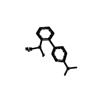 CN(C)c1ccc(-c2ccccc2N(N)F)cc1